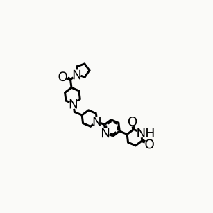 O=C1CCC(c2ccc(N3CCC(CN4CCC(C(=O)N5CCCC5)CC4)CC3)nc2)C(=O)N1